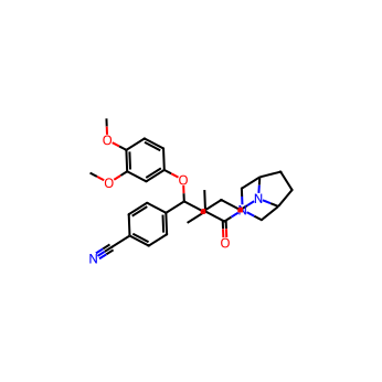 COc1ccc(OC(CCCN2C3CCC2CN(C(=O)C(C)C)C3)c2ccc(C#N)cc2)cc1OC